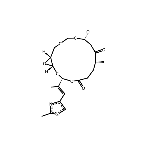 C/C(=C\c1csc(C)n1)[C@@H]1C[C@@H]2O[C@@H]2CCCC[C@H](O)CC(=O)[C@@H](C)CCC(=O)O1